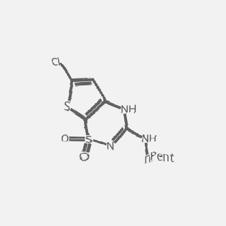 CCCCCNC1=NS(=O)(=O)c2sc(Cl)cc2N1